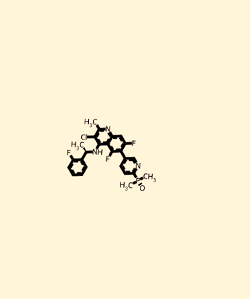 Cc1nc2cc(F)c(-c3ccc(P(C)(C)=O)nc3)c(F)c2c(N[C@H](C)c2ccccc2F)c1Cl